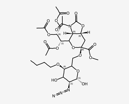 CCCCO[C@H]1C(CO[C@]2(C(=O)OC)C[C@H]3OC(=O)N(C(C)=O)[C@H]3C([C@H](OC(C)=O)[C@@H](COC(C)=O)OC(C)=O)O2)O[C@H](O)[C@@H](N=[N+]=[N-])C1O